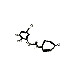 O=C(Nc1ccc(Cl)cc1)Nc1cc(Cl)cc(Cl)c1O